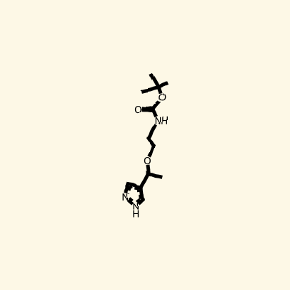 CC(OCCNC(=O)OC(C)(C)C)c1cn[nH]c1